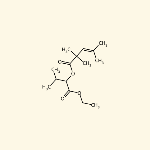 CCOC(=O)C(OC(=O)C(C)(C)C=C(C)C)C(C)C